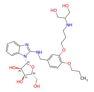 CCCOc1ccc(CNc2nc3ccccc3n2[C@@H]2O[C@H](CO)[C@@H](O)[C@H]2O)cc1OCCCNC(CO)CO